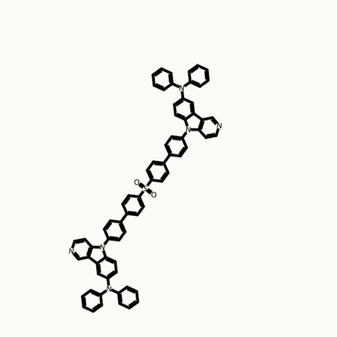 O=S(=O)(c1ccc(-c2ccc(-n3c4ccncc4c4cc(N(c5ccccc5)c5ccccc5)ccc43)cc2)cc1)c1ccc(-c2ccc(-n3c4ccncc4c4cc(N(c5ccccc5)c5ccccc5)ccc43)cc2)cc1